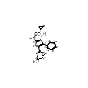 C1CC1.CCn1nnc(-c2sc(NC(=O)O)nc2-c2ccccc2)n1